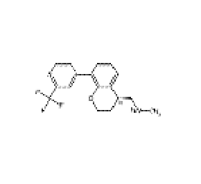 CNC[C@H]1CCOc2c(-c3ccnc(C(F)(F)F)c3)cccc21